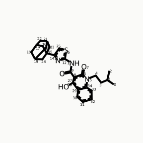 CC(C)CCn1c(=O)c(C(=O)Nc2nc(C34CC5CC(CC(C5)C3)C4)cs2)c(O)c2ccccc21